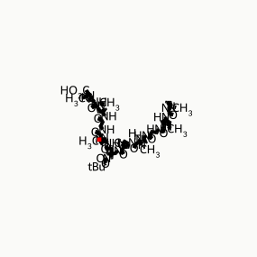 Cn1cc(NC(=O)c2nccn2C)cc1C(=O)NCCC(=O)Nc1cn(C)c(C(=O)Nc2cc(C(=O)NCC3(CC(=O)Nc4cn(C)c(C(=O)NCCC(=O)Nc5cc(C(=O)Nc6cn(C)c(C(=O)O)n6)n(C)c5)n4)CN(C(=O)OC(C)(C)C)C3)n(C)c2)n1